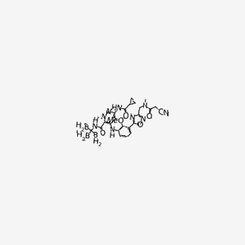 BC(B)(B)NC(=O)c1nnc(NC(=O)C2CC2)cc1Nc1cccc(-c2nc(CN(C)C(=O)CC#N)no2)c1OC